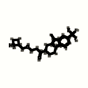 Cc1c2n(c3ncc(C(F)(F)F)cc13)CCN(C(=O)CCOCC1CCN1)C2